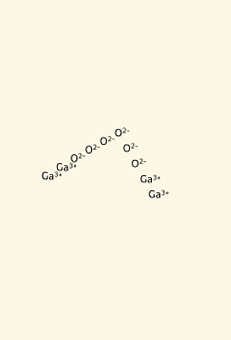 [Ga+3].[Ga+3].[Ga+3].[Ga+3].[O-2].[O-2].[O-2].[O-2].[O-2].[O-2]